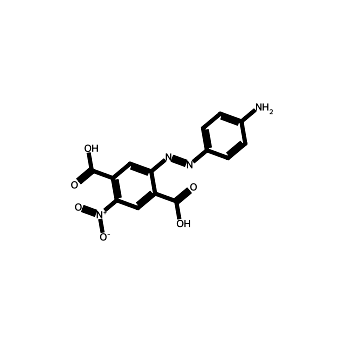 Nc1ccc(/N=N/c2cc(C(=O)O)c([N+](=O)[O-])cc2C(=O)O)cc1